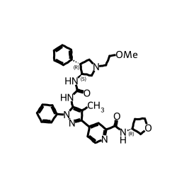 COCCN1C[C@@H](NC(=O)Nc2c(C)c(-c3ccnc(C(=O)N[C@@H]4CCOC4)c3)nn2-c2ccccc2)[C@H](c2ccccc2)C1